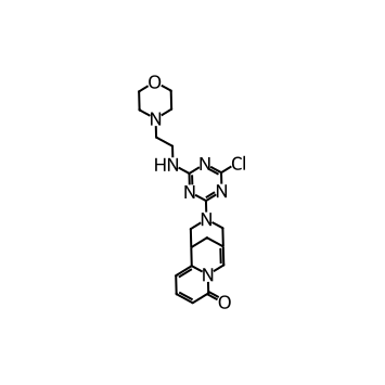 O=c1cccc2n1C=C1CC2CN(c2nc(Cl)nc(NCCN3CCOCC3)n2)C1